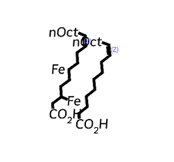 CCCCCCCC/C=C\CCCCCCCC(=O)O.CCCCCCCC/C=C\CCCCC[CH]([Fe])CC(=O)O.[Fe]